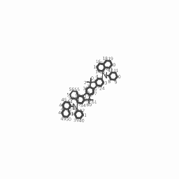 CC1(C)c2cc(N(c3ccccc3)c3cccc4ccccc34)ccc2-c2cc3c(cc21)-c1c(cc(N(c2ccccc2)c2cccc4ccccc24)c2c1=CCCC=2)C3(C)C